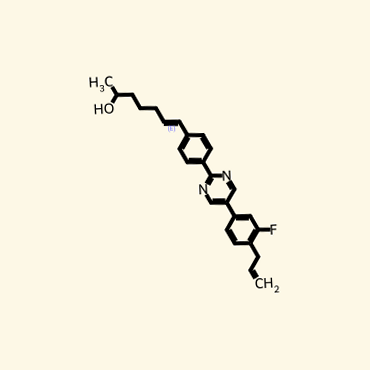 C=CCc1ccc(-c2cnc(-c3ccc(/C=C/CCCC(C)O)cc3)nc2)cc1F